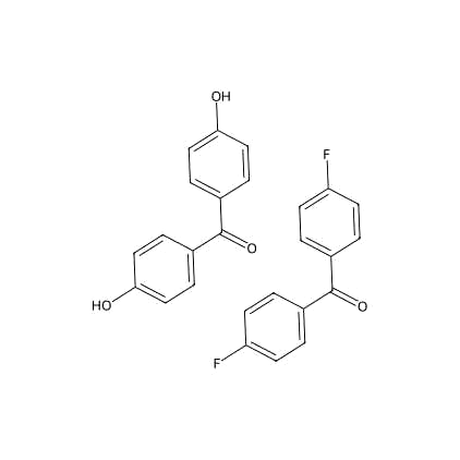 O=C(c1ccc(F)cc1)c1ccc(F)cc1.O=C(c1ccc(O)cc1)c1ccc(O)cc1